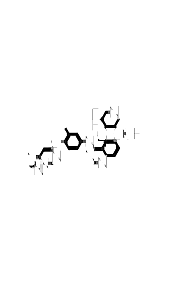 Cc1cc(Nc2ncnc3ccc(OC(F)(F)F)c(O[C@H]4CCN(C)CC4(F)F)c23)ccc1Oc1cc2ncnn2cn1